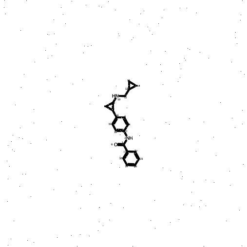 O=C(Nc1ccc(C2CC2NCC2CC2)cc1)c1ccccc1